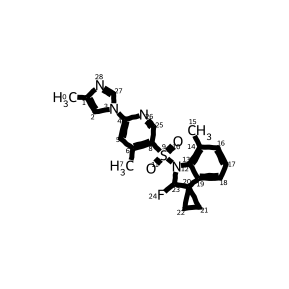 Cc1cn(-c2cc(C)c(S(=O)(=O)N3c4c(C)cccc4C4(CC4)C3F)cn2)cn1